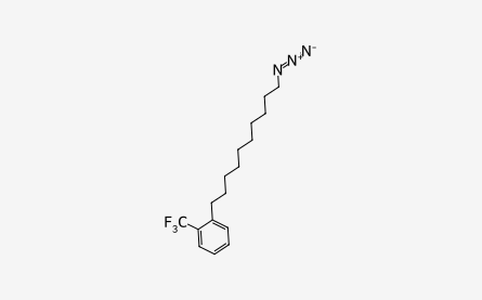 [N-]=[N+]=NCCCCCCCCCCc1ccccc1C(F)(F)F